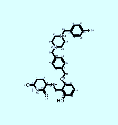 O=C1CCC(NCc2c(O)cccc2OCc2ccc(CN3CCN(Cc4ccc(F)cc4)CC3)cc2)C(=O)N1